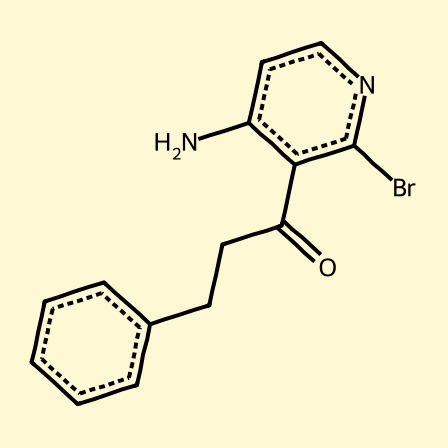 Nc1ccnc(Br)c1C(=O)CCc1ccccc1